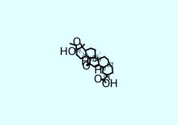 CC(=O)[C@]1(O)CC[C@@]2(C)C(CC[C@]3(C)[C@@H]2C(=O)C=C2[C@H]4C[C@@](C)(C(=O)O)CC[C@]4(C)CC[C@]23C)C1(C)C